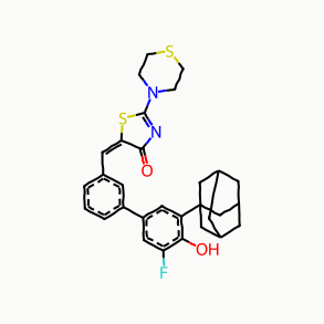 O=C1N=C(N2CCSCC2)SC1=Cc1cccc(-c2cc(F)c(O)c(C34CC5CC(CC(C5)C3)C4)c2)c1